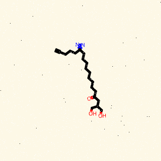 C#CCCCC1(CCCCCCCCCC(=O)CC(CO)CO)N=N1